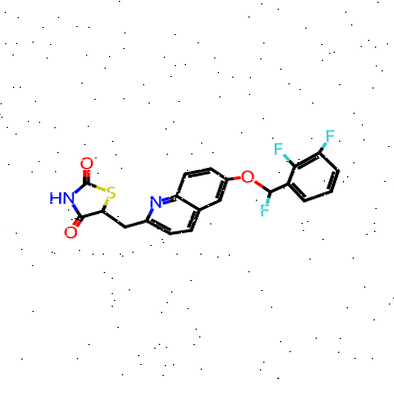 O=C1NC(=O)C(Cc2ccc3cc(OC(F)c4cccc(F)c4F)ccc3n2)S1